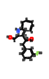 O=Cc1nc2cccccc-2c1C(=O)Cc1cccc(F)c1